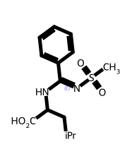 CC(C)CC(N/C(=N/S(C)(=O)=O)c1ccccc1)C(=O)O